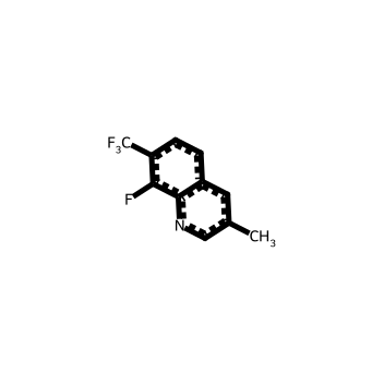 Cc1cnc2c(F)c(C(F)(F)F)ccc2c1